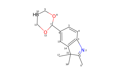 CC1=Nc2ccc(C3OCBCO3)cc2C1(C)C